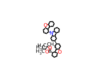 CC1(C)OB(c2cccc3oc4ccc(-c5ccc6c(c5)c5ccccc5n6-c5cccc6oc7ccccc7c56)cc4c23)OC1(C)C